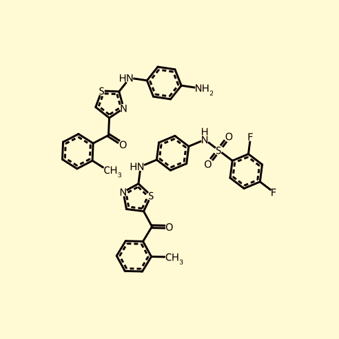 Cc1ccccc1C(=O)c1cnc(Nc2ccc(NS(=O)(=O)c3ccc(F)cc3F)cc2)s1.Cc1ccccc1C(=O)c1csc(Nc2ccc(N)cc2)n1